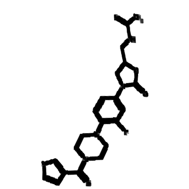 CC(=S)NCC1CN(c2ccc(N3CCN(C(=S)c4ccsc4)CC3)c(F)c2)C(=O)O1